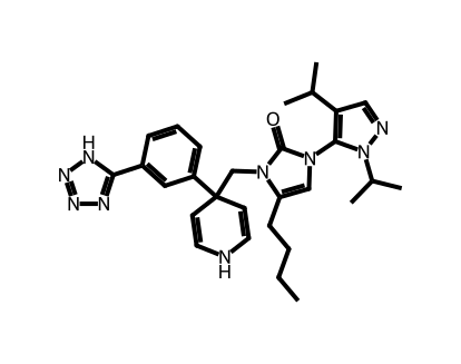 CCCCc1cn(-c2c(C(C)C)cnn2C(C)C)c(=O)n1CC1(c2cccc(-c3nnn[nH]3)c2)C=CNC=C1